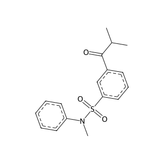 CC(C)C(=O)c1cccc(S(=O)(=O)N(C)c2ccccc2)c1